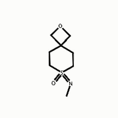 CN=S1(=O)CCC2(CC1)COC2